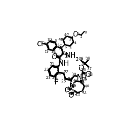 CCOC1CCC([C@H](c2ccc(Cl)cc2)[C@H](N)C(=O)Nc2cccc(F)c2CCC2CN(C(=O)OC(C)(C)C)[C@@H]3CCCS(=O)(=O)N2C3)CC1